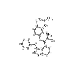 CC(=O)Oc1cc(C=C(C(N)=O)c2cccc3cnn(Cc4ccccc4)c23)ccc1F